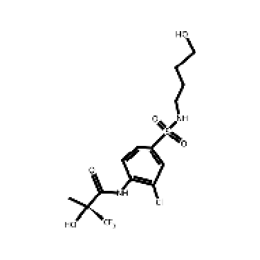 C[C@@](O)(C(=O)Nc1ccc(S(=O)(=O)NCCCCO)cc1Cl)C(F)(F)F